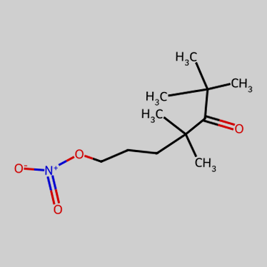 CC(C)(C)C(=O)C(C)(C)CCCO[N+](=O)[O-]